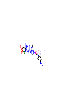 CCC[C@H]1CN(C(=O)C[C@@H](N)c2ccc(C#N)cc2)CCN1c1nc(N)c2cc(OC)c(OC)c(F)c2n1